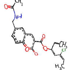 C/C=C(Cl)\C=C(/CC)OC(=O)c1cc2cc(CNC(C)=O)ccc2oc1=O